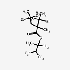 CCC(C)(C)CC(C)(C(=O)OC(C)(C)C(C(F)(F)F)C(F)(F)F)C(C)(C)CC